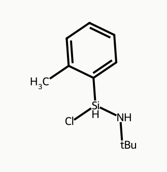 Cc1ccccc1[SiH](Cl)NC(C)(C)C